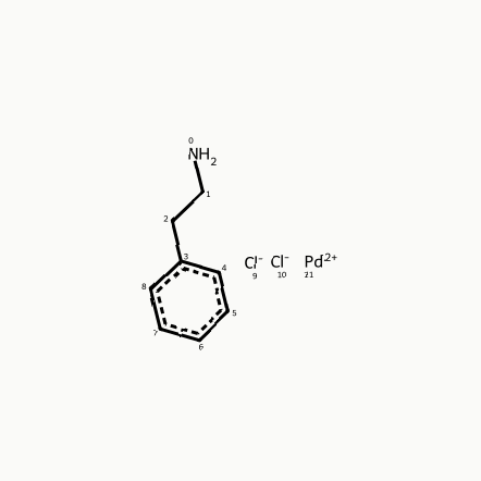 NCCc1ccccc1.[Cl-].[Cl-].[Pd+2]